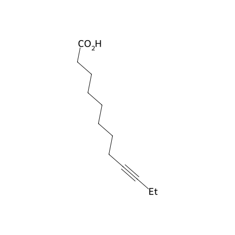 CCC#CCCCCCCCC(=O)O